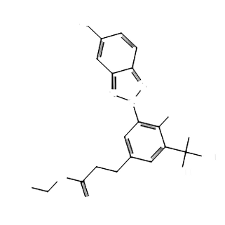 CCOC(=O)CCc1cc(-n2nc3ccc(Cl)cc3n2)c(O)c(C(C)(C)C)c1